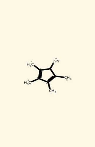 CCCC1C(C)=C(C)C(C)=C1C